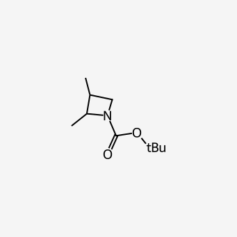 CC1CN(C(=O)OC(C)(C)C)C1C